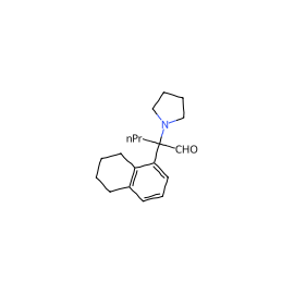 CCCC(C=O)(c1cccc2c1CCCC2)N1CCCC1